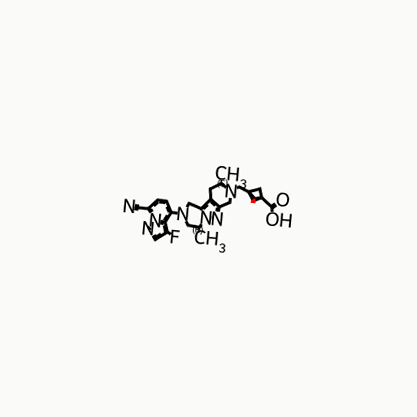 C[C@@H]1CN(c2ccc(C#N)n3ncc(F)c23)Cc2c3c(nn21)CN(CC12CC(C(=O)O)(C1)C2)[C@@H](C)C3